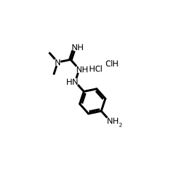 CN(C)C(=N)NNc1ccc(N)cc1.Cl.Cl